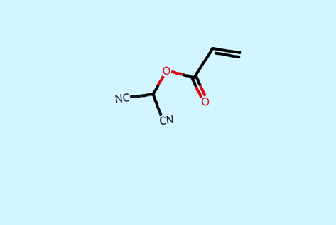 C=CC(=O)OC(C#N)C#N